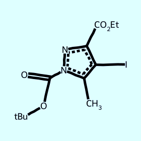 CCOC(=O)c1nn(C(=O)OC(C)(C)C)c(C)c1I